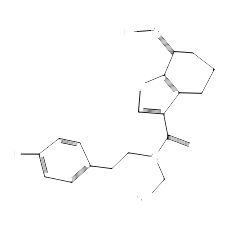 N#CCN(CCc1ccc(F)cc1)C(=O)c1csc2c1CCC/C2=N/O